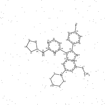 CSc1cc(N2CCOCC2)cc2c(-c3ccnc(NC4CCCC4)n3)c(-c3ccc(F)cc3)nn12